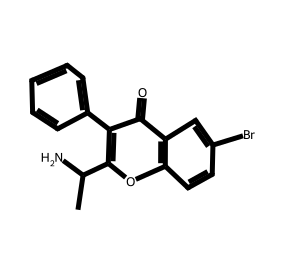 CC(N)c1oc2ccc(Br)cc2c(=O)c1-c1ccccc1